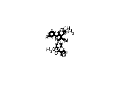 CC1CN(c2nc(-c3cccc(F)c3)c3c(c2C#N)CC(C)(C)OC3)CCN1C(=O)c1ccoc1